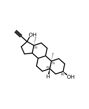 C#CC1(O)CCC2C3CC[C@H]4C[C@H](O)CC[C@]4(C)C3CC[C@@]21C